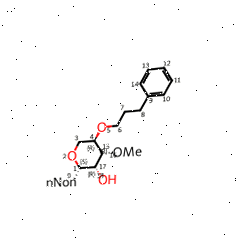 CCCCCCCCC[C@@H]1OC[C@@H](OCCCc2ccccc2)[C@H](OC)[C@@H]1O